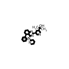 CN(c1ccccn1)c1nc(-c2cncc(C(C)(C)O)c2)nc2cccc(-c3ccccc3)c12